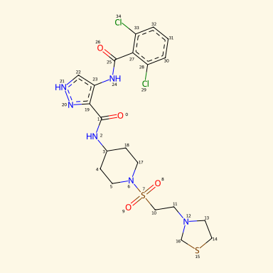 O=C(NC1CCN(S(=O)(=O)CCN2CCSC2)CC1)c1n[nH]cc1NC(=O)c1c(Cl)cccc1Cl